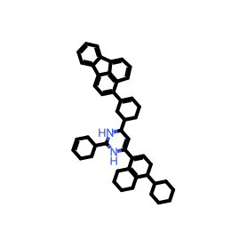 C1=CCC(C2NC(C3=CCC(C4CCCCC4)C4=C3CCCC4)=CC(C3CCC=C(c4ccc5c6c(cccc46)-c4ccccc4-5)C3)N2)CC1